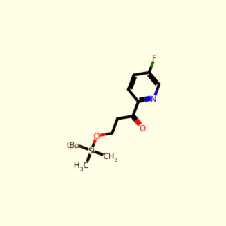 CC(C)(C)[Si](C)(C)OCCC(=O)c1ccc(F)cn1